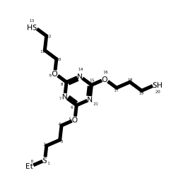 CCSCCCOc1nc(OCCCS)nc(OCCCS)n1